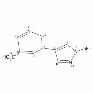 CC(C)n1cc(-c2cncc(C(=O)O)c2)cn1